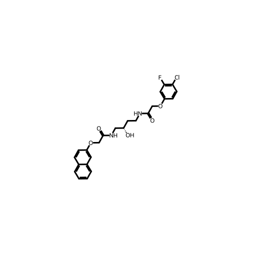 O=C(COc1ccc(Cl)c(F)c1)NCC[C@H](O)CNC(=O)COc1ccc2ccccc2c1